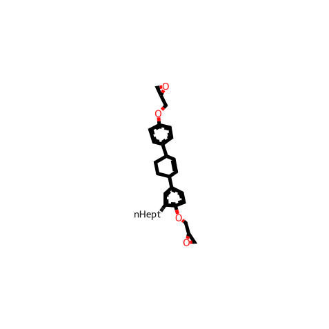 CCCCCCCc1cc(C2C=CC(c3ccc(OCC4CO4)cc3)CC2)ccc1OCC1CO1